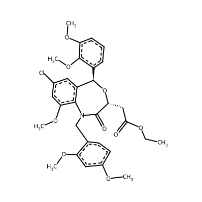 CCOC(=O)C[C@H]1O[C@H](c2cccc(OC)c2OC)c2cc(Cl)cc(OC)c2N(Cc2ccc(OC)cc2OC)C1=O